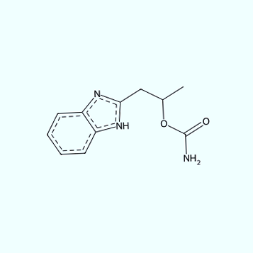 CC(Cc1nc2ccccc2[nH]1)OC(N)=O